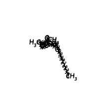 CCCCCCCCCCCCCCCCOC[C@@H]1CO[C@@H](COC(=O)N(Cc2cccc[n+]2CC)C(C)=O)C1